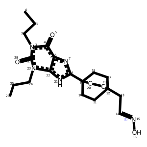 CCCn1c(=O)c2nc(C34CCC(C/C=N/O)(CC3)CC4)[nH]c2n(CCC)c1=O